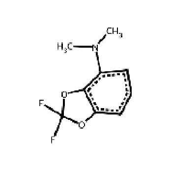 CN(C)c1cccc2c1OC(F)(F)O2